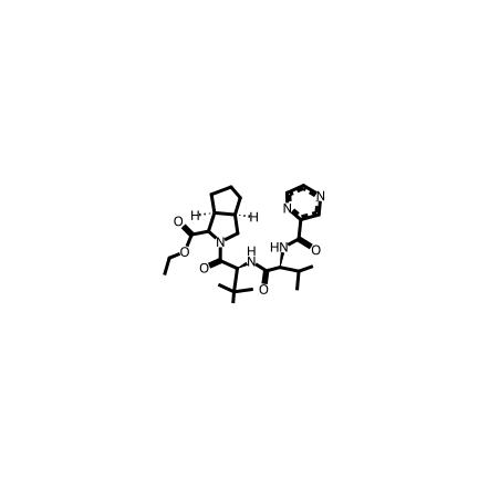 CCOC(=O)C1[C@H]2CCC[C@H]2CN1C(=O)[C@@H](NC(=O)[C@@H](NC(=O)c1cnccn1)C(C)C)C(C)(C)C